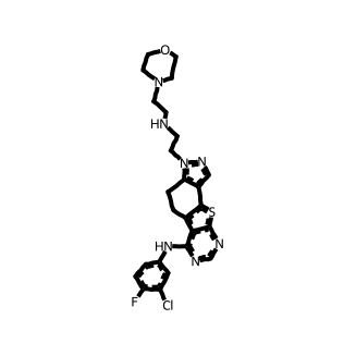 Fc1ccc(Nc2ncnc3sc4c(c23)CCc2c-4cnn2CCNCCN2CCOCC2)cc1Cl